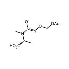 CC(=O)OCON=[N+]([O-])N(C)[C@@H](C)C(=O)O